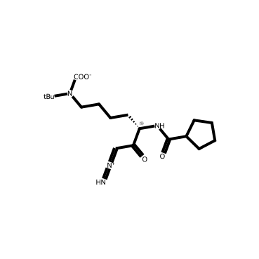 CC(C)(C)N(CCCC[C@H](NC(=O)C1CCCC1)C(=O)C=[N+]=N)C(=O)[O-]